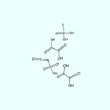 O=C(O)C(=O)O.O=C(O)C(=O)O.O=C=NS(=O)(=O)O.O=P(O)(O)F